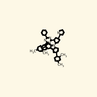 Cc1ccc(-c2ccc3c(c2)c2cc(-c4ccc(C)cc4C)ccc2n3-c2ccc(-c3ccccn3)cc2-c2nc(-c3ccccc3)nc(-c3ccccc3)n2)c(C)c1